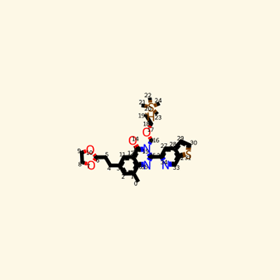 Cc1cc(CCC2OCCO2)cc2c(=O)n(COCC[SH](C)(C)(C)C)c(-c3cc4ccsc4cn3)nc12